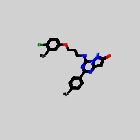 Cc1ccc(-c2nc(NCCCOc3ccc(Cl)c(C)c3)n3[nH]c(=O)cc3n2)cc1